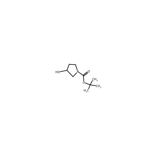 CC(C)(C)OC(=O)N1[CH]CC(O)C1